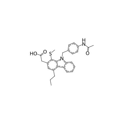 CCCc1cc(CC(=O)O)c(SC)c2c1c1ccccc1n2Cc1ccc(NC(C)=O)cc1